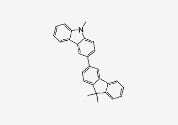 Cn1c2ccccc2c2cc(-c3ccc4c(c3)-c3ccccc3C4(C)C)ccc21